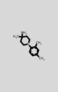 Cc1ccc(N2CCC(C)(N)CC2)c(C)c1